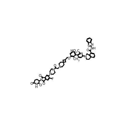 Cc1c(OCC2CC3(CCN(CC(=O)N4CCN(c5cc6c(cc5F)C(=O)N(C5CCC(=O)NC5=O)C6=O)CC4)CC3)C2)cccc1-c1ccc(N2CCc3cccc(C(=O)Nc4nc5ccccc5s4)c3C2)nc1C(=O)O